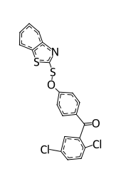 O=C(c1ccc(OSc2nc3ccccc3s2)cc1)c1cc(Cl)ccc1Cl